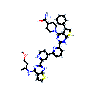 COCCC(C)Nc1nc(-c2cc(-c3cccc(-c4nc(N5CCC(C(N)=O)CC5)c5c(-c6ccccc6)csc5n4)n3)ccn2)nc2sccc12